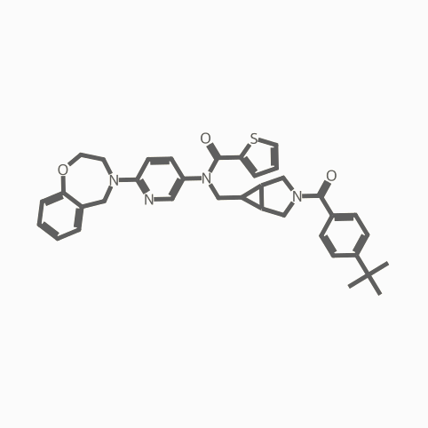 CC(C)(C)c1ccc(C(=O)N2CC3C(C2)C3CN(C(=O)c2cccs2)c2ccc(N3CCOc4ccccc4C3)nc2)cc1